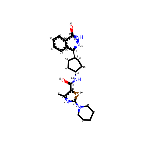 Cc1nc(N2CCCCC2)sc1C(=O)N[C@H]1CC[C@H](c2n[nH]c(=O)c3ccccc32)CC1